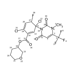 Cn1c(C(F)(F)F)cc(=O)n(C2(Cl)C=C(C(=O)OC3CCCOC3)C(Cl)=CC2F)c1=O